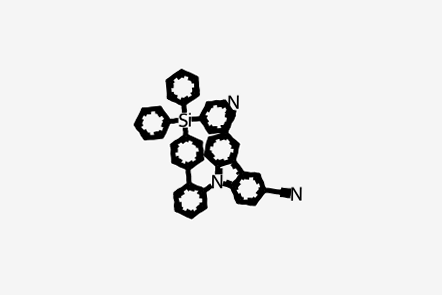 N#Cc1ccc2c(c1)c1cc(C#N)ccc1n2-c1ccccc1-c1ccc([Si](c2ccccc2)(c2ccccc2)c2ccccc2)cc1